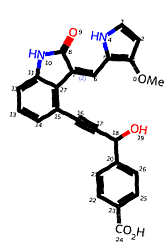 COc1cc[nH]c1/C=C1\C(=O)Nc2cccc(C#CC(O)c3ccc(C(=O)O)cc3)c21